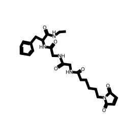 CCNC(=O)C(Cc1ccccc1)NC(=O)CNC(=O)CNC(=O)CCCCCN1C(=O)C=CC1=O